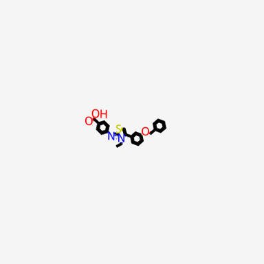 CCn1c(-c2cccc(OCc3ccccc3)c2)cs/c1=N\c1ccc(C(=O)O)cc1